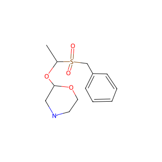 CC(OC1C[N]CCO1)S(=O)(=O)Cc1ccccc1